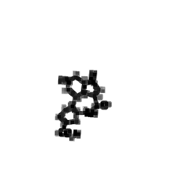 O=C(O)c1ccc2c(c1)NC(=O)c1c[nH]c3c1C2=CNC3